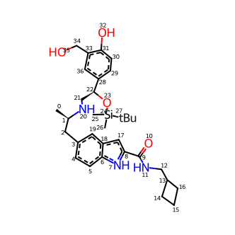 C[C@H](Cc1ccc2[nH]c(C(=O)NCC3CCC3)cc2c1)NC[C@H](O[Si](C)(C)C(C)(C)C)c1ccc(O)c(CO)c1